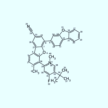 Cc1ccc2c(oc3c(-c4ccc5c(c4)oc4ccccc45)cc(C#N)cc32)c1-c1cc(F)c(C(C)(C)C)c[n+]1C